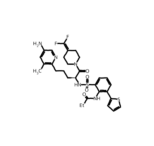 CCC(=O)Nc1c(-c2cccs2)cccc1S(=O)(=O)N[C@@H](CCCc1ncc(N)cc1C)C(=O)N1CCC(=C(F)F)CC1